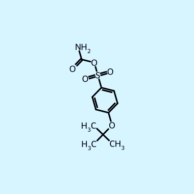 CC(C)(C)Oc1ccc(S(=O)(=O)OC(N)=O)cc1